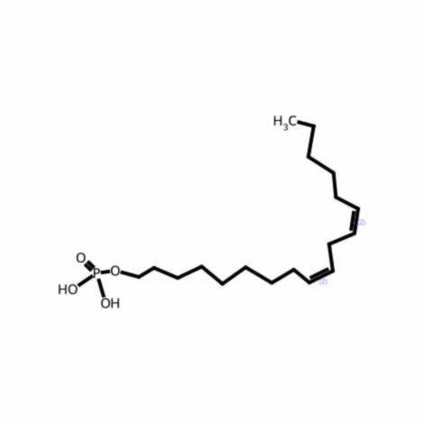 CCCCC/C=C\C/C=C\CCCCCCCCOP(=O)(O)O